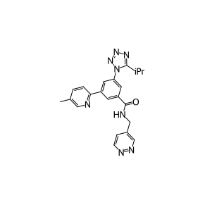 Cc1ccc(-c2cc(C(=O)NCc3ccnnc3)cc(-n3nnnc3C(C)C)c2)nc1